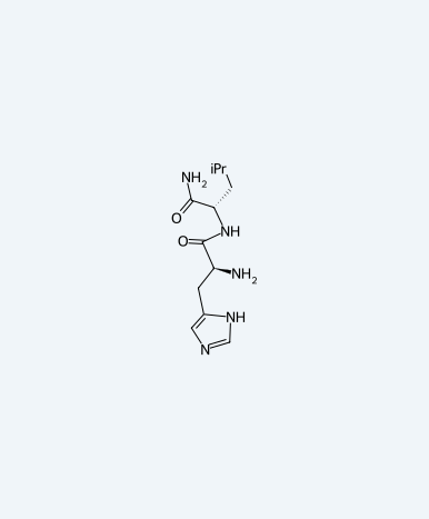 CC(C)C[C@H](NC(=O)[C@@H](N)Cc1cnc[nH]1)C(N)=O